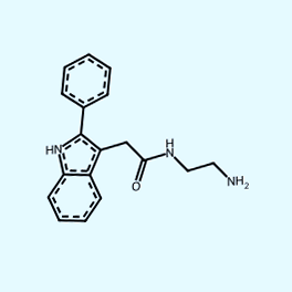 NCCNC(=O)Cc1c(-c2ccccc2)[nH]c2ccccc12